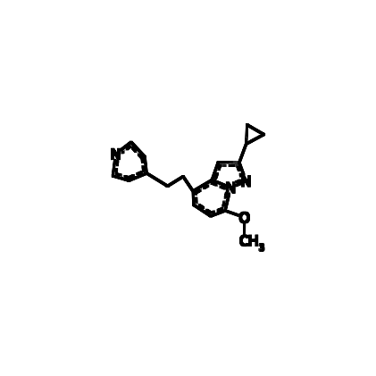 COc1ccc(CCc2ccncc2)c2cc(C3CC3)nn12